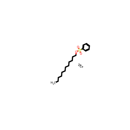 CCCCCCCCCCCCOS(=O)(=O)c1ccccc1.[Ce].[Zn]